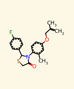 C=C(C)COc1ccc(N2C(=O)CSC2c2ccc(F)cc2)c(C)c1